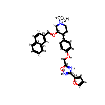 O=C(O)N1CCC(c2ccc(OCc3nc(-c4ccco4)no3)cc2)C(OCc2ccc3ccccc3c2)C1